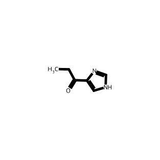 CCC(=O)c1c[nH]cn1